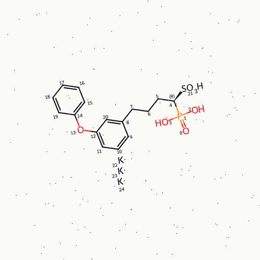 O=P(O)(O)[C@@H](CCCc1cccc(Oc2ccccc2)c1)S(=O)(=O)O.[K].[K].[K]